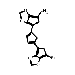 CCC1=C2OCOC2=C(C2=CC=C(C3=C4OCOC4=C(C)C3)C2)C1